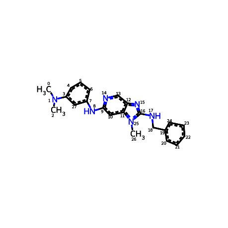 CN(C)c1cccc(Nc2cc3c(cn2)nc(NCc2ccccc2)n3C)c1